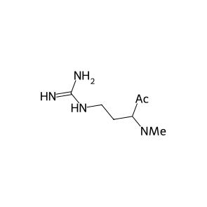 CNC(CCNC(=N)N)C(C)=O